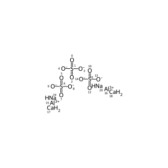 O=S(=O)([O-])[O-].O=S(=O)([O-])[O-].O=S(=O)([O-])[O-].[Al+3].[Al+3].[CaH2].[CaH2].[NaH].[NaH]